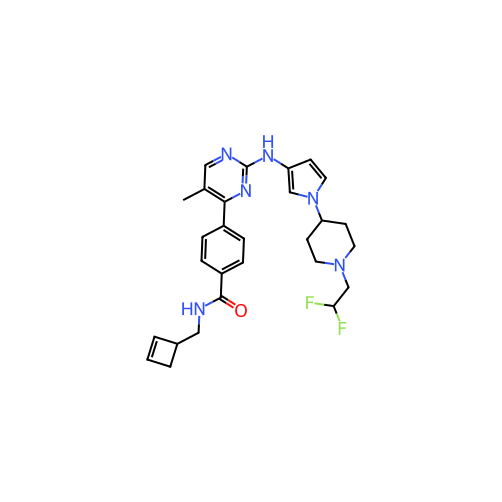 Cc1cnc(Nc2ccn(C3CCN(CC(F)F)CC3)c2)nc1-c1ccc(C(=O)NCC2C=CC2)cc1